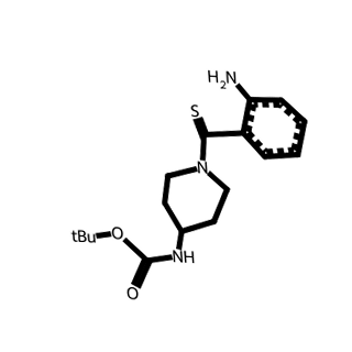 CC(C)(C)OC(=O)NC1CCN(C(=S)c2ccccc2N)CC1